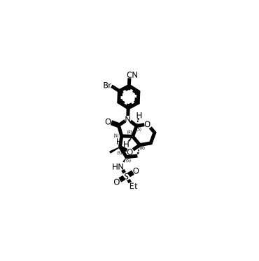 CCS(=O)(=O)N[C@H]1C[C@@]23CCO[C@H]4[C@@H]2[C@H](C(=O)N4c2ccc(C#N)c(Br)c2)[C@]1(C)O3